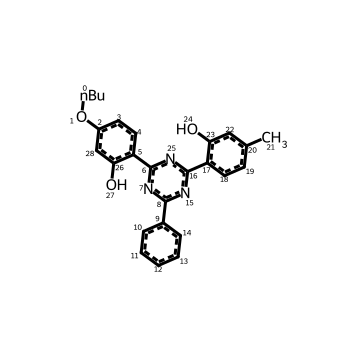 CCCCOc1ccc(-c2nc(-c3ccccc3)nc(-c3ccc(C)cc3O)n2)c(O)c1